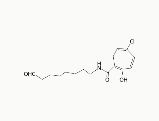 O=CCCCCCCCNC(=O)C1=C(O)C=CC(Cl)=CC1